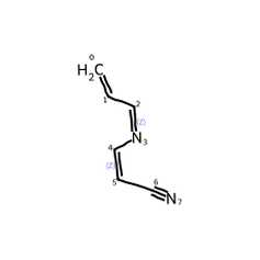 C=C/C=N\C=C/C#N